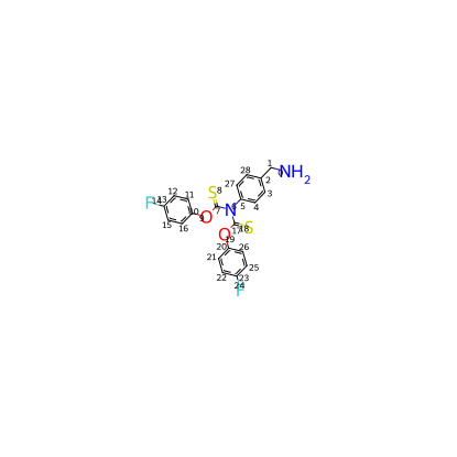 NCc1ccc(N(C(=S)Oc2ccc(F)cc2)C(=S)Oc2ccc(F)cc2)cc1